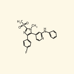 Cn1c(S(C)(=O)=O)nc(-c2ccc(F)cc2)c1-c1ccnc(Nc2ccccc2)c1